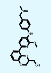 COc1nc(-c2cccc3c2OC(CO)CO3)ccc1Nc1ccc(CN(C)C)cc1